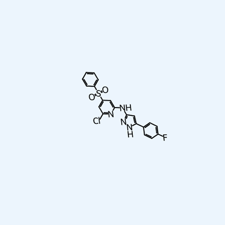 O=S(=O)(c1ccccc1)c1cc(Cl)nc(Nc2cc(-c3ccc(F)cc3)[nH]n2)c1